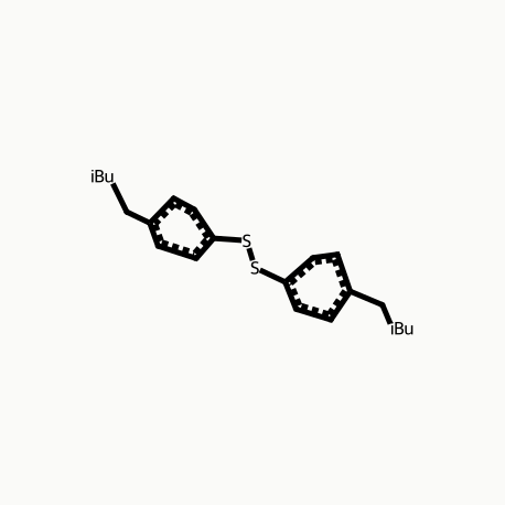 CCC(C)Cc1ccc(SSc2ccc(CC(C)CC)cc2)cc1